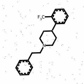 FC(F)(F)c1ccccc1C1CCN(CCc2ccccc2)CC1